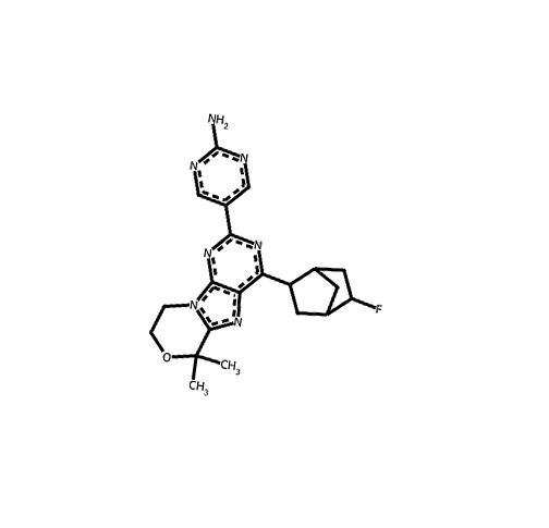 CC1(C)OCCn2c1nc1c(C3CC4CC3CC4F)nc(-c3cnc(N)nc3)nc12